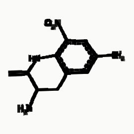 Bc1cc2c(c([N+](=O)[O-])c1)NC(=C)C(N)C2